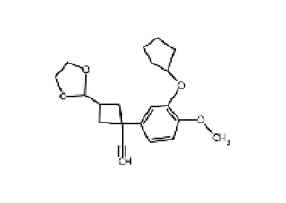 C#CC1(c2ccc(OC)c(OC3CCCC3)c2)CC(C2OCCO2)C1